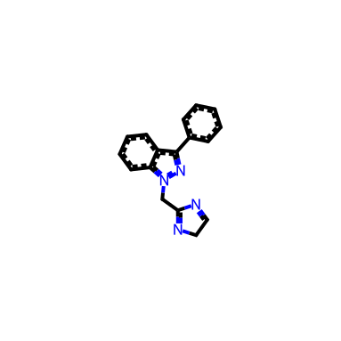 C1=NC(Cn2nc(-c3ccccc3)c3ccccc32)=NC1